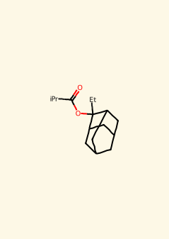 CCC1(OC(=O)C(C)C)C2CC3CC(C2)CC1C3